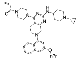 C=CC(=O)N1CCN(c2nc(NC3CCN(C4CC4)CC3)nc3c2CCN(c2cc(OCCC)cc4ccccc24)C3)CC1